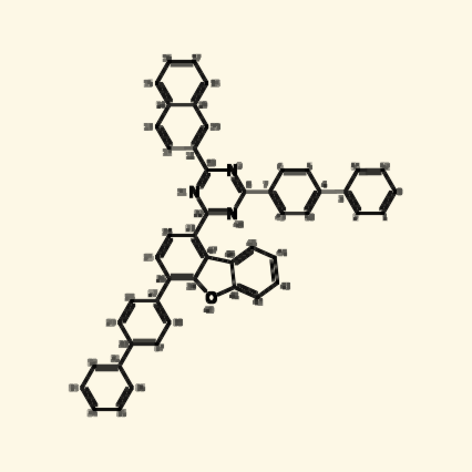 c1ccc(-c2ccc(-c3nc(-c4ccc5ccccc5c4)nc(-c4ccc(-c5ccc(-c6ccccc6)cc5)c5oc6ccccc6c45)n3)cc2)cc1